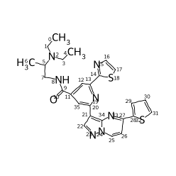 CCN(CC)C(C)CNC(=O)c1cc(-c2nccs2)nc(-c2cnn3ccc(-c4cccs4)nc23)c1